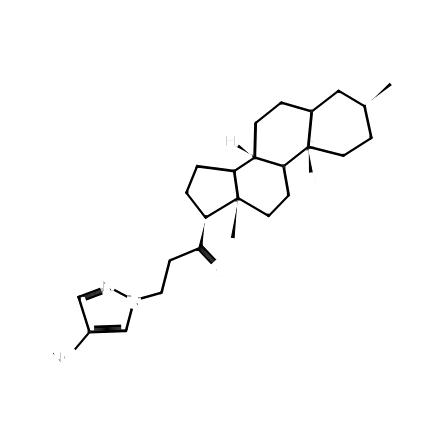 C[C@H]1CC[C@H]2C(CC[C@@H]3C2CC[C@@]2(C)C3CC[C@@H]2C(=O)CCn2cc(C#N)cn2)C1